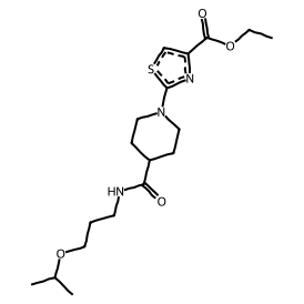 CCOC(=O)c1csc(N2CCC(C(=O)NCCCOC(C)C)CC2)n1